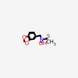 CC(=S)N(O)Cc1ccc2c(c1)OCO2